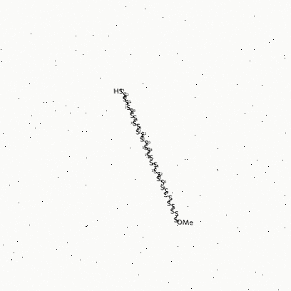 COSSSSSSSSSSSSSSSSSSSSSSSSSSSSSSSSS